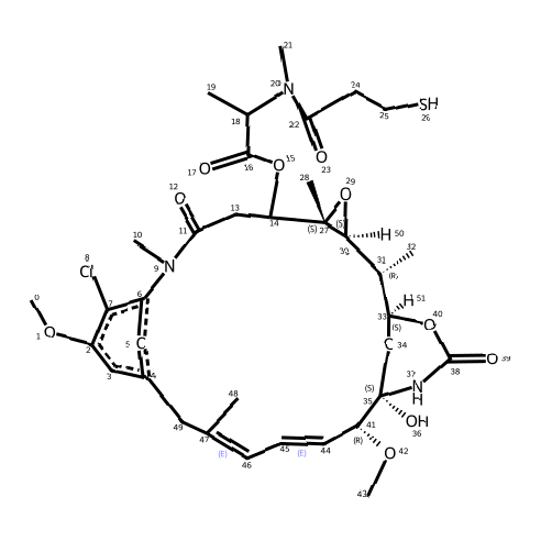 COc1cc2cc(c1Cl)N(C)C(=O)CC(OC(=O)C(C)N(C)C(=O)CCS)[C@]1(C)O[C@H]1[C@H](C)[C@@H]1C[C@@](O)(NC(=O)O1)[C@H](OC)/C=C/C=C(\C)C2